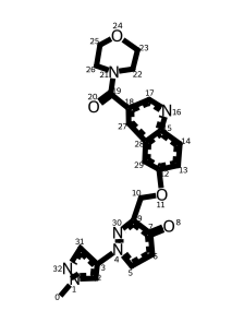 Cn1cc(-n2ccc(=O)c(COc3ccc4ncc(C(=O)N5CCOCC5)cc4c3)n2)cn1